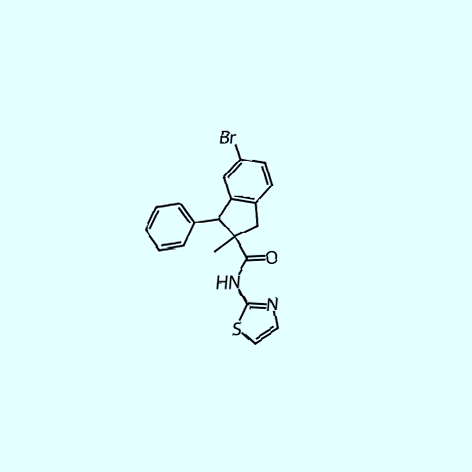 CC1(C(=O)Nc2nccs2)Cc2ccc(Br)cc2C1c1ccccc1